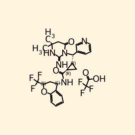 CC1(C)CC(=O)N(C(c2cccnc2)[C@@H]2C[C@H]2C(=O)N[C@H]2C[C@H](C(F)(F)F)Oc3ccccc32)C(=N)N1.O=C(O)C(F)(F)F